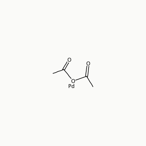 CC(=O)OC(C)=O.[Pd]